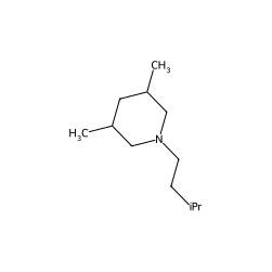 CC(C)CCN1CC(C)CC(C)C1